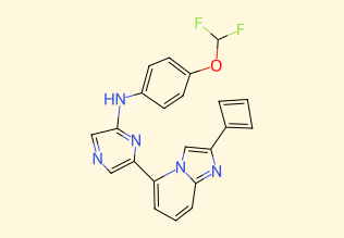 FC(F)Oc1ccc(Nc2cncc(-c3cccc4nc(C5=CC=C5)cn34)n2)cc1